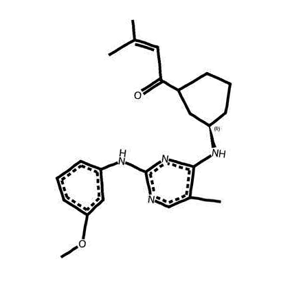 COc1cccc(Nc2ncc(C)c(N[C@@H]3CCCC(C(=O)C=C(C)C)C3)n2)c1